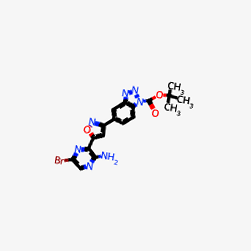 CC(C)(C)OC(=O)n1nnc2cc(-c3cc(-c4nc(Br)cnc4N)on3)ccc21